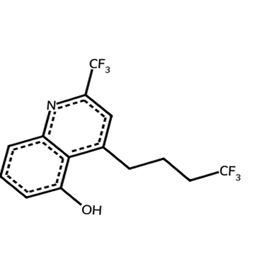 Oc1cccc2nc(C(F)(F)F)cc(CCCC(F)(F)F)c12